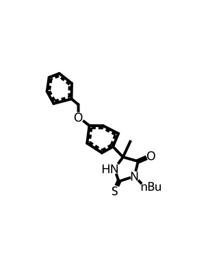 CCCCN1C(=O)C(C)(c2ccc(OCc3ccccc3)cc2)NC1=S